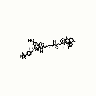 Cc1ncsc1-c1ccc(CNC(=O)C2CC(O)CN2C(=O)C(NC(=O)CCOCCNC(=O)CCC(=O)NN2C(=O)C(C)C3CCC(C)C4CCC5(C)OOC43C2O5)C(C)(C)C)cc1